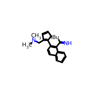 CCCCC(=N)c1c(C2=C(CN(C)C)C=CC2)ccc2ccccc12